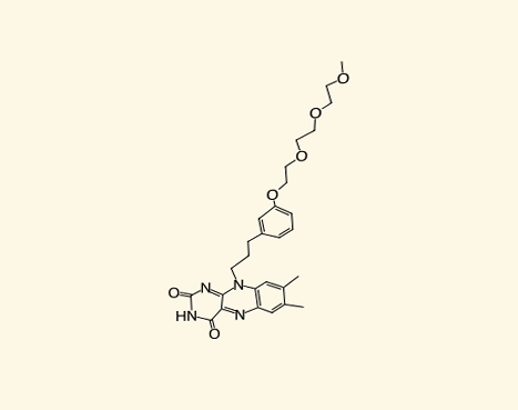 COCCOCCOCCOc1cccc(CCCn2c3nc(=O)[nH]c(=O)c-3nc3cc(C)c(C)cc32)c1